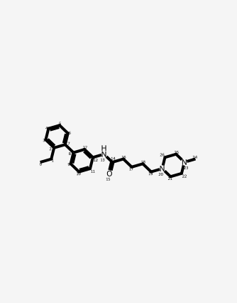 CCc1ccccc1-c1cccc(NC(=O)CCCCN2CCN(C)CC2)c1